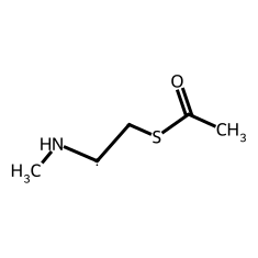 CN[CH]CSC(C)=O